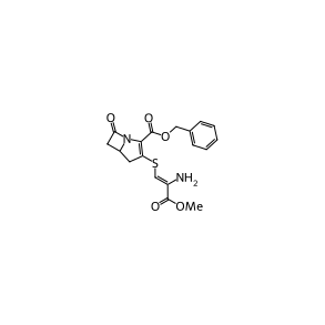 COC(=O)C(N)=CSC1=C(C(=O)OCc2ccccc2)N2C(=O)CC2C1